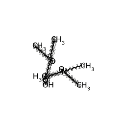 CCCCCCCCCCN(CCCCCCCCCC)C(=O)CCCCCCCN(CCCCCCCC(=O)N(CCCCCCCCCC)CCCCCCCCCC)C1(C)CCC(O)CC1